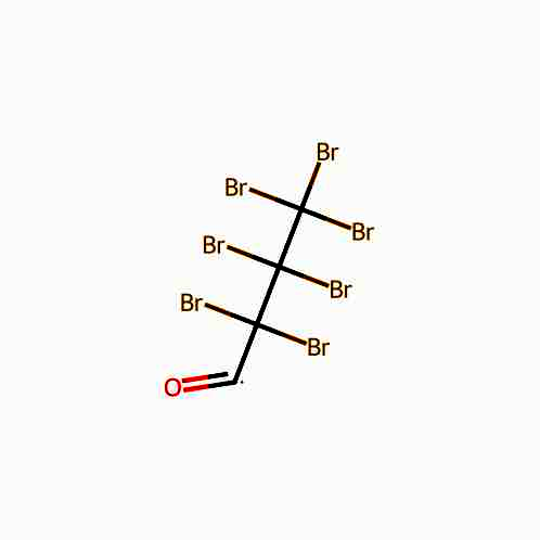 O=[C]C(Br)(Br)C(Br)(Br)C(Br)(Br)Br